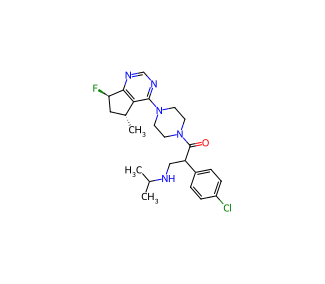 CC(C)NCC(C(=O)N1CCN(c2ncnc3c2[C@H](C)C[C@H]3F)CC1)c1ccc(Cl)cc1